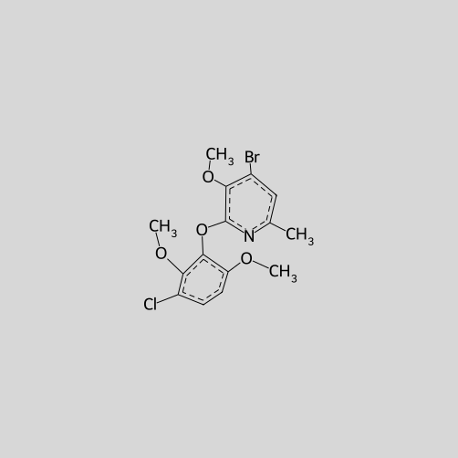 COc1ccc(Cl)c(OC)c1Oc1nc(C)cc(Br)c1OC